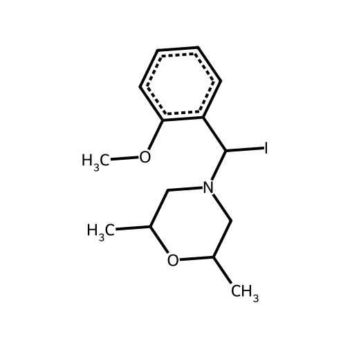 COc1ccccc1C(I)N1CC(C)OC(C)C1